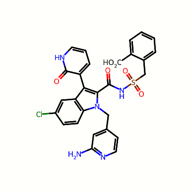 Nc1cc(Cn2c(C(=O)NS(=O)(=O)Cc3ccccc3C(=O)O)c(-c3ccc[nH]c3=O)c3cc(Cl)ccc32)ccn1